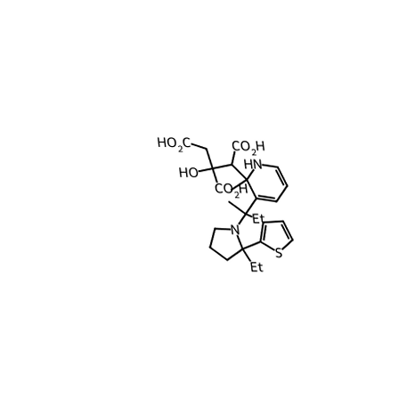 CCC(C)(C1=CC=CNC1(C)C(C(=O)O)C(O)(CC(=O)O)C(=O)O)N1CCCC1(CC)c1cccs1